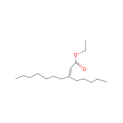 CCCCCCCC(=CC(=O)OCC)CCCCC